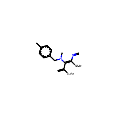 C=N/C(NC)=C(/C(=C)NC)N(C)Cc1ccc(C)cc1